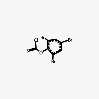 S=C(Cl)Oc1c(Br)cc(Br)cc1Br